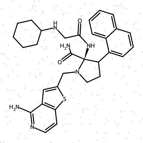 NC(=O)[C@]1(NC(=O)CNC2CCCCC2)C(c2cccc3ccccc23)CCN1Cc1cc2c(N)nccc2s1